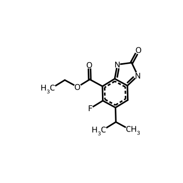 CCOC(=O)c1c(F)c(C(C)C)cc2c1=NC(=O)N=2